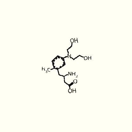 Cc1ccc(N(CCO)CCO)cc1CC(N)CC(=O)O